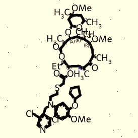 CC[C@H]1OC(=O)[C@H](C)[C@@H](OC2C[C@@](C)(OC)C[C@H](C)O2)[C@H](C)[C@@H](C)[C@H](OC)C[C@@H](C)C(=O)/C(C)=C/[C@@H]1OC(=O)CSCCN(Cc1c(Cl)cncc1Cl)c1ccc(OC)c(OC2CCCC2)c1